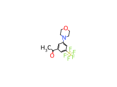 CC(=O)c1cc(N2CCOCC2)cc(S(F)(F)(F)(F)F)c1